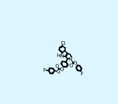 O=C(Oc1ccc(F)cc1)Oc1ccc(C2C3=C(CCN2C(=O)Oc2ccc(F)cc2)C2CC(Cl)=CC=C2N3)cc1